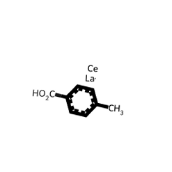 Cc1ccc(C(=O)O)cc1.[Ce].[La]